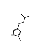 Cc1cc(OCC(C)C)n[nH]1